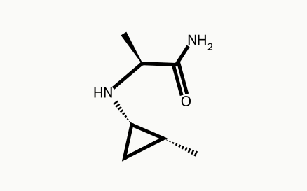 C[C@H](N[C@H]1C[C@H]1C)C(N)=O